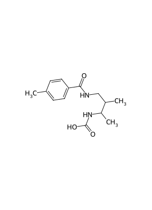 Cc1ccc(C(=O)NCC(C)C(C)NC(=O)O)cc1